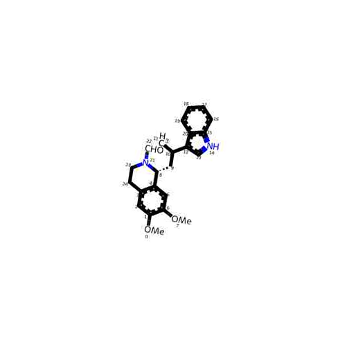 COc1cc2c(cc1OC)[C@@H](CC(C)c1c[nH]c3ccccc13)N(C=O)CC2